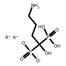 NCCCC(O)(P(=O)([O-])[O-])P(=O)(O)O.[K+].[K+]